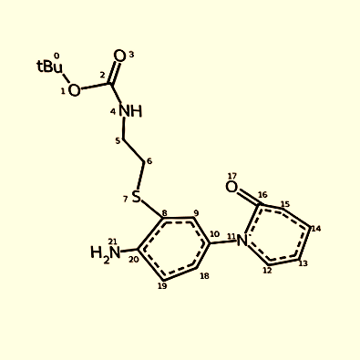 CC(C)(C)OC(=O)NCCSc1cc(-n2ccccc2=O)ccc1N